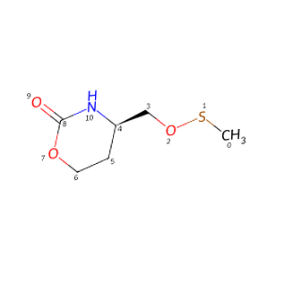 CSOC[C@H]1CCOC(=O)N1